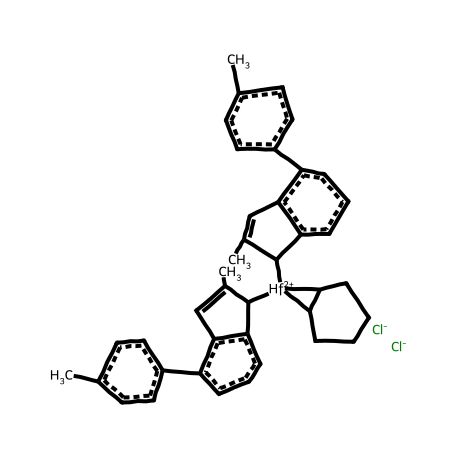 CC1=Cc2c(-c3ccc(C)cc3)cccc2[CH]1[Hf+2]1([CH]2C(C)=Cc3c(-c4ccc(C)cc4)cccc32)[CH]2CCCC[CH]21.[Cl-].[Cl-]